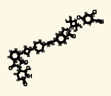 CC1(C)[C@H](Oc2ccc(C#N)c(Cl)c2)C(C)(C)[C@H]1N1Cc2cc(C#CC3CCN(C4CN(c5cccc6c5C(=O)N(C5CCC(=O)NC5=O)C6=O)C4)CC3)ccc2C1=O